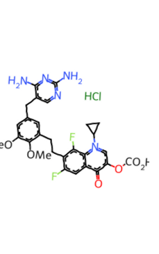 COc1cc(Cc2cnc(N)nc2N)cc(CCc2c(F)cc3c(=O)c(OC(=O)O)cn(C4CC4)c3c2F)c1OC.Cl